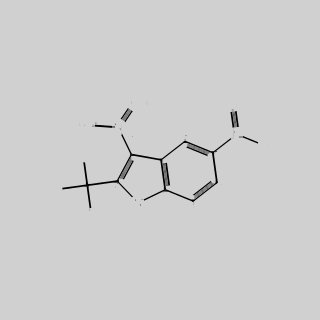 O=[N+]([O-])c1ccc2[nH]c(C(F)(F)F)c([N+](=O)[O-])c2c1